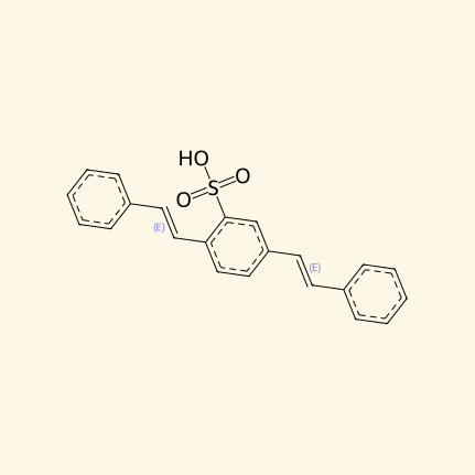 O=S(=O)(O)c1cc(/C=C/c2ccccc2)ccc1/C=C/c1ccccc1